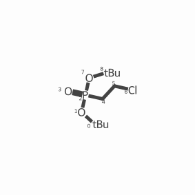 CC(C)(C)OP(=O)(CCCl)OC(C)(C)C